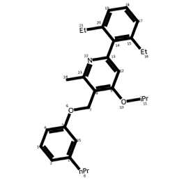 CCCc1cccc(OCc2c(OC(C)C)cc(-c3c(CC)cccc3CC)nc2C)c1